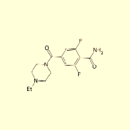 CCN1CCN(C(=O)c2cc(F)c(C(N)=O)c(F)c2)CC1